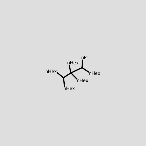 CCCCCC[C](CCCCCC)C(CCCCCC)(CCCCCC)C(CCC)CCCCCC